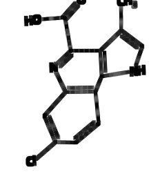 Cc1c[nH]c2c1c(C(=O)O)nc1cc(Cl)ccc12